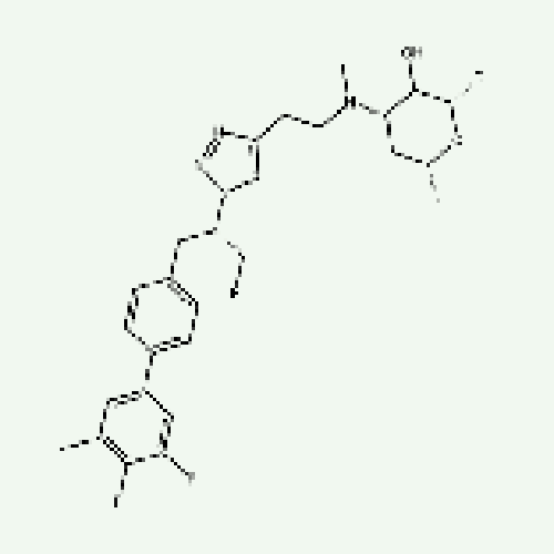 C[C@@H]1C[C@H](N(C)CCc2cn([C@H](CF)Cc3ccc(-c4cc(F)c(F)c(F)c4)cc3)nn2)C(O)[C@H](O)O1